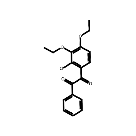 CCOc1ccc(C(=O)C(=O)c2ccccc2)c(Cl)c1OCC